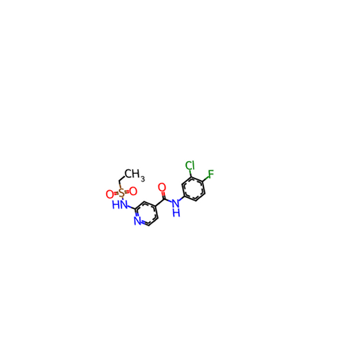 CCS(=O)(=O)Nc1cc(C(=O)Nc2ccc(F)c(Cl)c2)ccn1